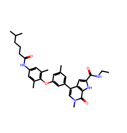 CCNC(=O)c1cc2c(-c3cc(C)cc(Oc4c(C)cc(NC(=O)CCCC(C)C)cc4C)c3)cn(C)c(=O)c2[nH]1